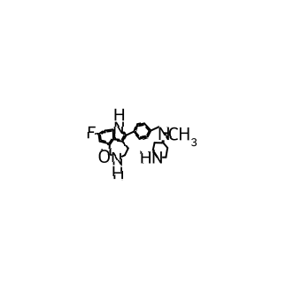 CN(Cc1ccc(-c2[nH]c3cc(F)cc4c3c2CCNC4=O)cc1)C1CCNCC1